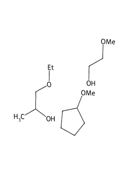 CCOCC(C)O.COC1CCCC1.COCCO